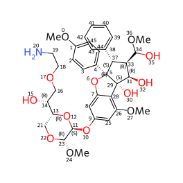 COc1ccc([C@@]23Oc4cc(O[C@@H]5O[C@@H]([C@H](O)COCCN)CO[C@H]5OC)cc(OC)c4[C@]2(O)[C@H](O)[C@H](C(O)OC)[C@H]3c2ccccc2)cc1